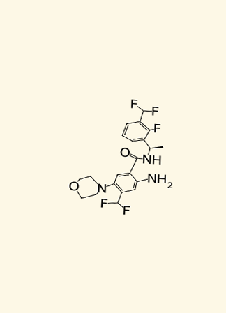 C[C@@H](NC(=O)c1cc(N2CCOCC2)c(C(F)F)cc1N)c1cccc(C(F)F)c1F